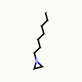 CCCCCCCN1CC1